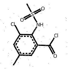 Cc1cc(Cl)c(NS(C)(=O)=O)c(C(=O)Cl)c1